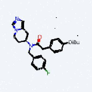 CC(C)COc1ccc(CC(=O)N(Cc2ccc(F)cc2)[C@H]2CCn3cncc3C2)cc1